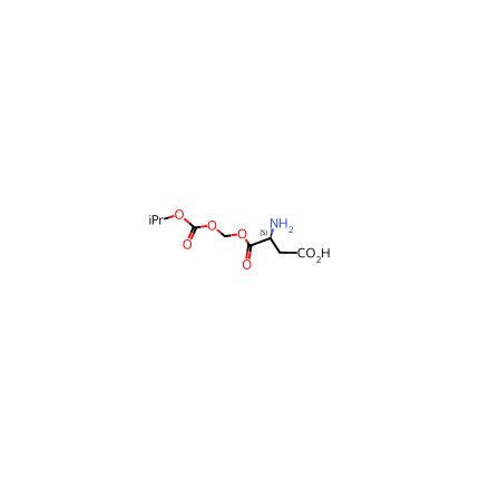 CC(C)OC(=O)OCOC(=O)[C@@H](N)CC(=O)O